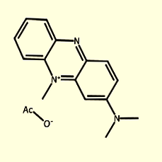 CC(=O)[O-].CN(C)c1ccc2nc3ccccc3[n+](C)c2c1